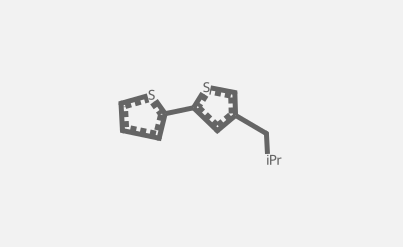 CC(C)Cc1csc(-c2cccs2)c1